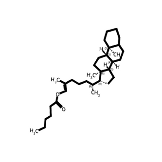 CCCCCC(=O)OC=C(C)CCC[C@@H](C)[C@H]1CC[C@H]2[C@@H]3CCC4CCCC[C@]4(C)[C@H]3CC[C@]12C